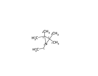 [CH2]CN1C(C)(C)C1(C)C